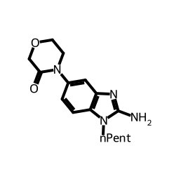 CCCCCn1c(N)nc2cc(N3CCOCC3=O)ccc21